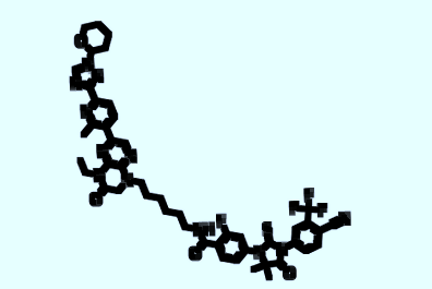 CCN1C(=O)CN(CCCCCCNC(=O)c2ccc(N3C(=S)N(c4ccc(C#N)c(C(F)(F)F)c4)C(=O)C3(C)C)cc2F)c2ncc(-c3ccc(-c4ncn(C5CCCCO5)n4)nc3C)nc21